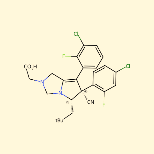 CC(C)(C)C[C@@H]1N2CN(CC(=O)O)CC2=C(c2cccc(Cl)c2F)[C@@]1(C#N)c1ccc(Cl)cc1F